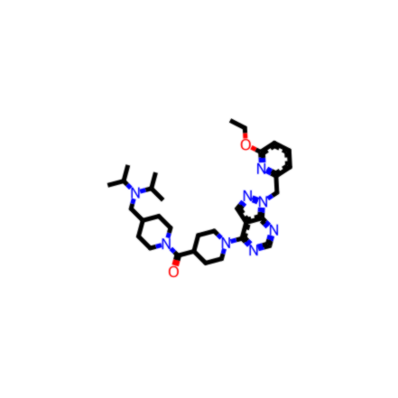 CCOc1cccc(Cn2ncc3c(N4CCC(C(=O)N5CCC(CN(C(C)C)C(C)C)CC5)CC4)ncnc32)n1